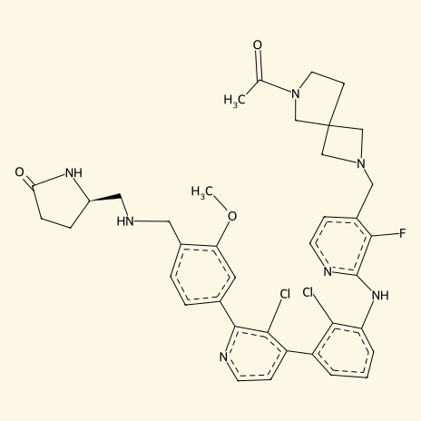 COc1cc(-c2nccc(-c3cccc(Nc4nccc(CN5CC6(CCN(C(C)=O)C6)C5)c4F)c3Cl)c2Cl)ccc1CNC[C@H]1CCC(=O)N1